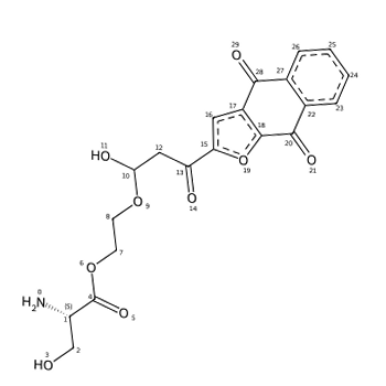 N[C@@H](CO)C(=O)OCCOC(O)CC(=O)c1cc2c(o1)C(=O)c1ccccc1C2=O